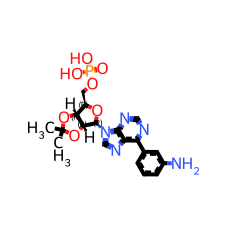 CC1(C)O[C@@H]2[C@H](O1)[C@@H](COP(=O)(O)O)O[C@H]2n1cnc2c(-c3cccc(N)c3)ncnc21